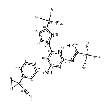 C/C(=N\c1nc(Nc2ccnc(C3(C#N)CC3)c2)nc(-n2ccc(C(F)(F)F)n2)n1)C(F)(F)F